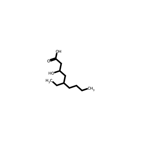 CCCCC(CC)CC(O)CC(=O)O